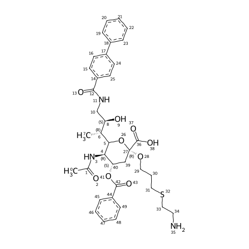 CC(=O)N[C@H]1C([C@H](C)[C@H](O)CNC(=O)c2ccc(-c3ccccc3)cc2)O[C@@](OCCCSCCN)(C(=O)O)C[C@@H]1OC(=O)c1ccccc1